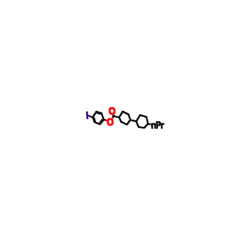 CCCC1CCC(C2CCC(C(=O)Oc3ccc(I)cc3)CC2)CC1